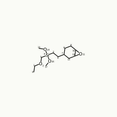 CCOC[Si](CCC1CCC2OC2C1)(OC)OC